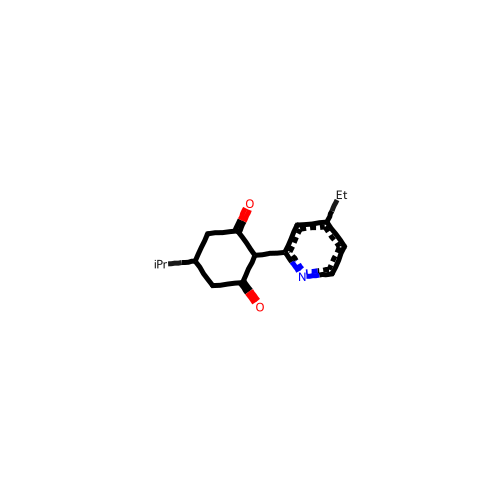 CCc1ccnc(C2C(=O)CC(C(C)C)CC2=O)c1